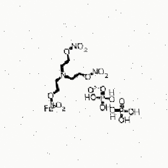 O=P(O)(O)O.O=P(O)(O)O.O=[N+]([O-])OCCN(CCO[N+](=O)[O-])CCO[N+](=O)[O-].[Fe+2].[O-2]